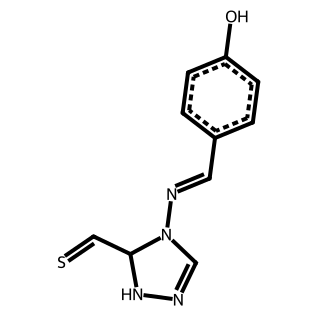 Oc1ccc(C=NN2C=NNC2C=S)cc1